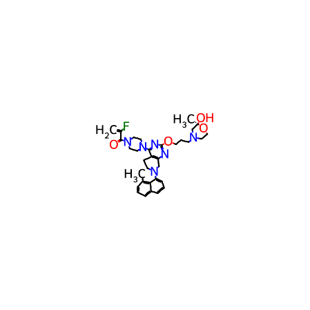 C=C(F)C(=O)N1CCN(c2nc(OCCCN3CCO[C@](C)(O)C3)nc3c2CCN(c2cccc4cccc(C)c24)C3)CC1